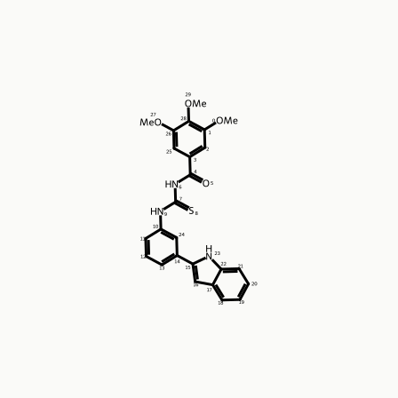 COc1cc(C(=O)NC(=S)Nc2cccc(-c3cc4ccccc4[nH]3)c2)cc(OC)c1OC